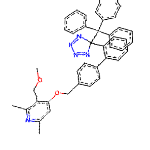 COCc1c(OCc2ccc(-c3ccccc3C3(C(c4ccccc4)(c4ccccc4)c4ccccc4)N=NN=N3)cc2)cc(C)nc1C